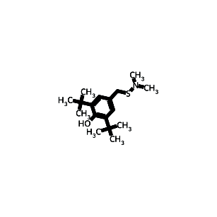 CN(C)SCc1cc(C(C)(C)C)c(O)c(C(C)(C)C)c1